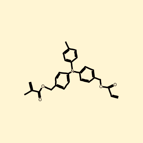 C=CC(=O)OCc1ccc(N(c2ccc(C)cc2)c2ccc(COC(=O)C(=C)C)cc2)cc1